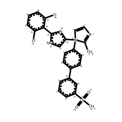 CC1=NC=C[N+]1(c1ccc(-c2cccc(S(C)(=O)=O)c2)cc1)c1c[nH]c(-c2c(Cl)cccc2Cl)n1